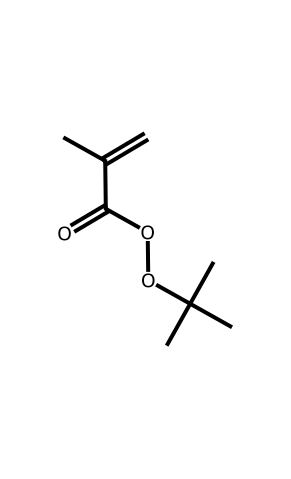 C=C(C)C(=O)OOC(C)(C)C